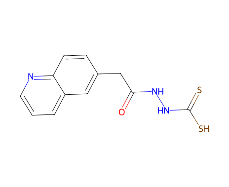 O=C(Cc1ccc2ncccc2c1)NNC(=S)S